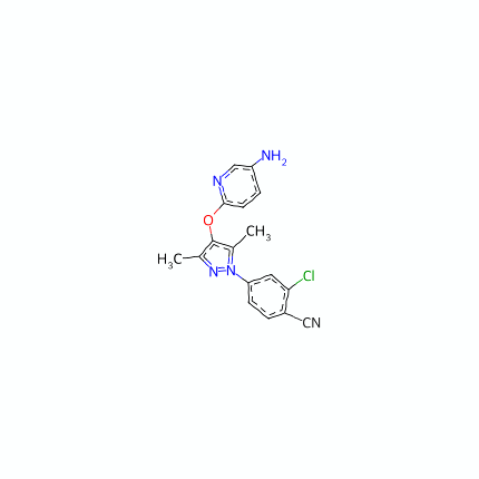 Cc1nn(-c2ccc(C#N)c(Cl)c2)c(C)c1Oc1ccc(N)cn1